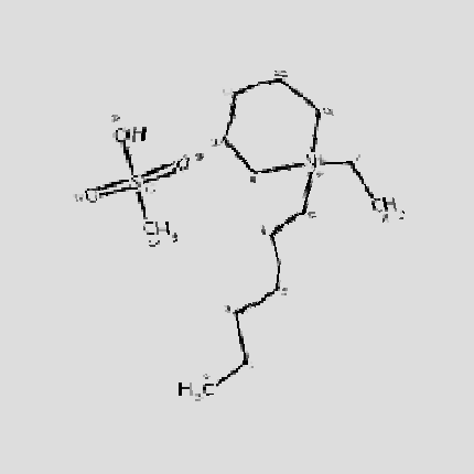 CCCCCC[N+]1(CC)CCCCC1.CS(=O)(=O)O